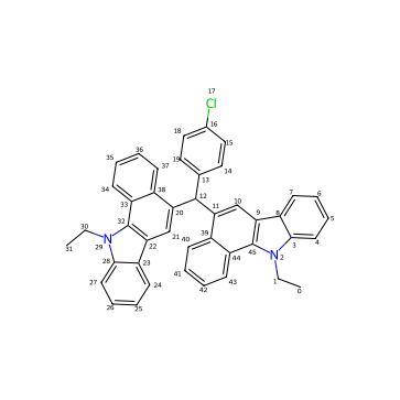 CCn1c2ccccc2c2cc(C(c3ccc(Cl)cc3)c3cc4c5ccccc5n(CC)c4c4ccccc34)c3ccccc3c21